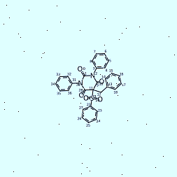 O=C1N(c2ccccc2)C(=O)C(Cc2ccccc2)(S(=O)(=O)c2ccccc2)C(=O)N1c1ccccc1